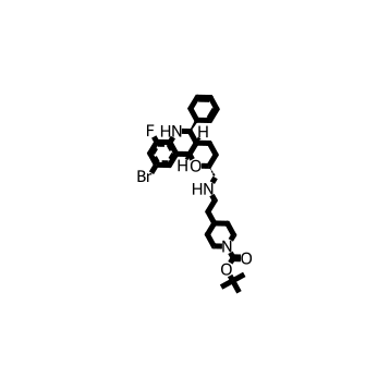 CC(C)(C)OC(=O)N1CCC(CCNC[C@H]2CC[C@@H]3[C@H](O2)c2cc(Br)cc(F)c2N[C@H]3C2C=CC=CC2)CC1